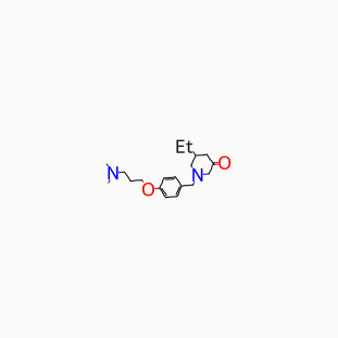 CCC1CC(=O)CN(Cc2ccc(OCCCN(C)C)cc2)C1